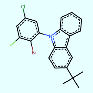 CC(C)(C)c1ccc2c(c1)c1ccccc1n2-c1cc(Cl)cc(F)c1Br